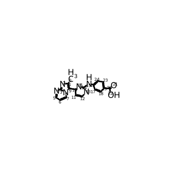 Cc1nc2ncccn2c1-c1ccnc(Nc2ccc(C(=O)O)cc2)n1